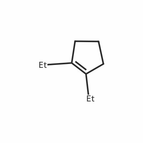 CCC1=C(CC)CCC1